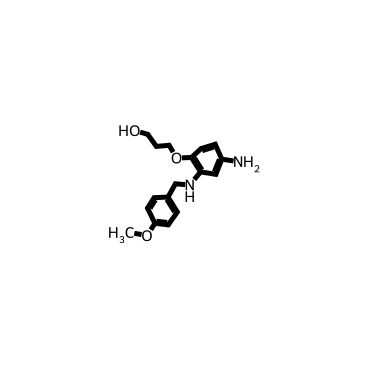 COc1ccc(CNc2cc(N)ccc2OCCCO)cc1